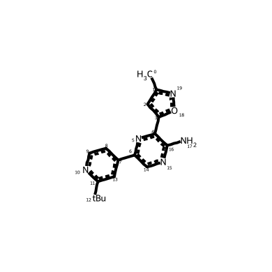 Cc1cc(-c2nc(-c3ccnc(C(C)(C)C)c3)cnc2N)on1